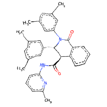 Cc1cc(C)cc([C@H]2[C@H](C(=O)Nc3cccc(C)n3)c3ccccc3C(=O)N2c2cc(C)cc(C)c2)c1